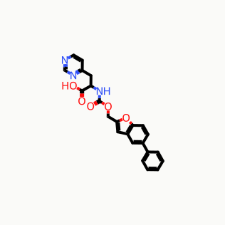 O=C(NC(Cc1ccncn1)C(=O)O)OCc1cc2cc(-c3ccccc3)ccc2o1